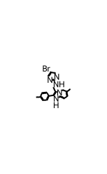 CC1=CC=C2NC(c3ccc(C)cc3)=C(CNc3ncc(Br)cn3)N2C1